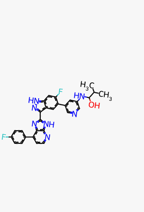 CC(C)C(O)Nc1cncc(-c2cc3c(-c4nc5c(-c6ccc(F)cc6)ccnc5[nH]4)n[nH]c3cc2F)c1